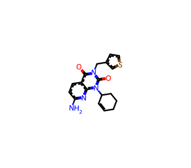 Nc1ccc2c(=O)n(Cc3ccsc3)c(=O)n(C3C=CCCC3)c2n1